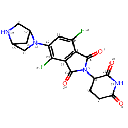 O=C1CCC(N2C(=O)c3c(F)cc(N4CC5CC4CN5)c(F)c3C2=O)C(=O)N1